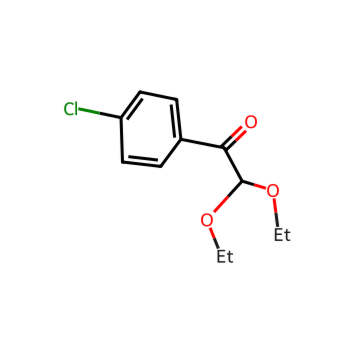 CCOC(OCC)C(=O)c1ccc(Cl)cc1